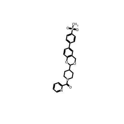 CS(=O)(=O)c1ccc(-c2ccc3c(c2)COC(C2CCN(C(=O)c4ccccn4)CC2)O3)cc1